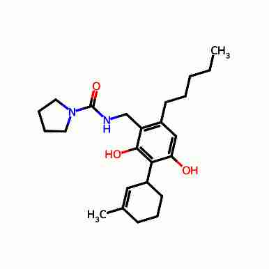 CCCCCc1cc(O)c(C2C=C(C)CCC2)c(O)c1CNC(=O)N1CCCC1